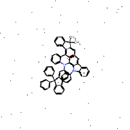 CC1(C)c2ccccc2-c2c(-c3ccccc3N(c3ccc4c(c3)C(c3ccccc3)(c3ccccc3)c3ccccc3-4)c3cccc4c5ccccc5n(-c5ccccc5)c34)cccc21